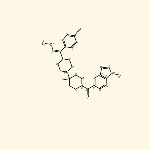 CCON=C(c1ccc(Br)cc1)C1CCN(C2(C)CCN(C(=O)c3ccc4c(ccn4CC)c3)CC2)CC1